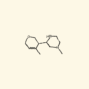 CC1=CCOCC1C1CN(C)CCN1